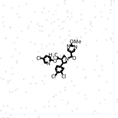 COc1ncc(C(=O)N2CC(c3ccc(Cl)c(Cl)c3)C(C(C)Oc3ccc(Cl)cn3)C2)cn1